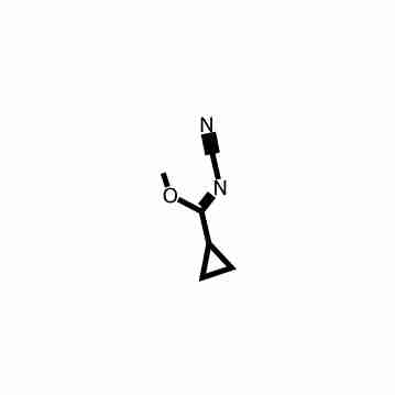 COC(=NC#N)C1CC1